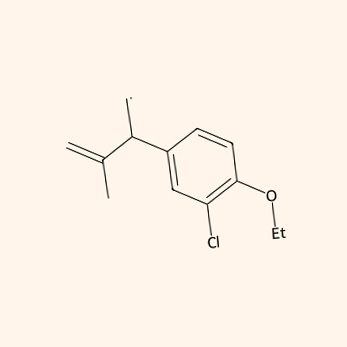 [CH2]C(C(=C)C)c1ccc(OCC)c(Cl)c1